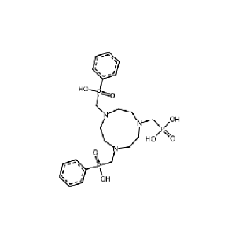 O=P(O)(O)CN1CCN(CP(=O)(O)c2ccccc2)CCN(CP(=O)(O)c2ccccc2)CC1